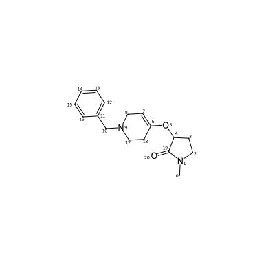 CN1CCC(OC2=CCN(Cc3ccccc3)CC2)C1=O